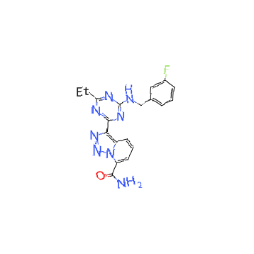 CCc1nc(NCc2cccc(F)c2)nc(-c2nnn3c(C(N)=O)cccc23)n1